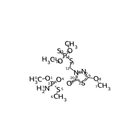 COP(N)(=O)SC.COc1nn(CSP(=S)(OC)OC)c(=O)s1